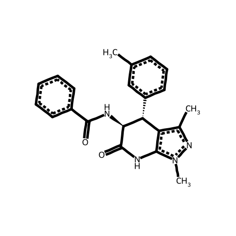 Cc1cccc([C@@H]2c3c(C)nn(C)c3NC(=O)[C@H]2NC(=O)c2ccccc2)c1